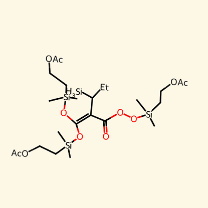 CCC([SiH3])C(C(=O)OO[Si](C)(C)CCOC(C)=O)=C(O[Si](C)(C)CCOC(C)=O)O[Si](C)(C)CCOC(C)=O